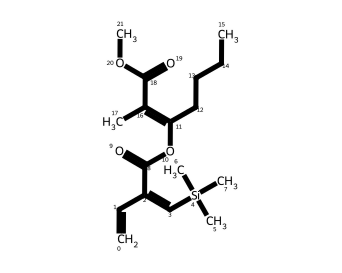 C=CC(=C[Si](C)(C)C)C(=O)OC(CCCC)=C(C)C(=O)OC